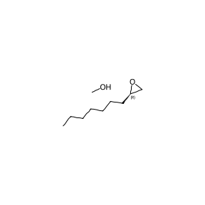 CCCCCCC[C@@H]1CO1.CO